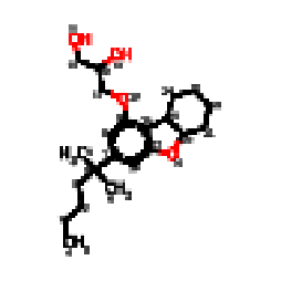 CCCCC(C)(C)c1cc(OCC(O)CO)c2c(c1)OC1CCCCC21